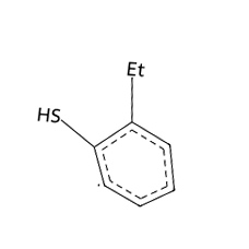 CCc1ccc[c]c1S